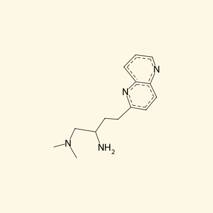 CN(C)CC(N)CCc1ccc2ncccc2n1